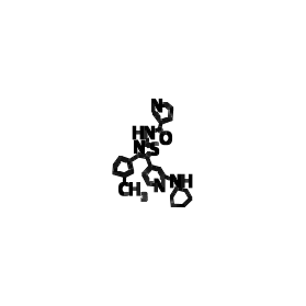 Cc1cccc(-c2nc(NC(=O)c3cccnc3)sc2-c2ccnc(NC3CCCCC3)c2)c1